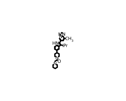 Cc1cc(-c2[nH]c3ccc(C4CCN(C(=O)CN5CCCCC5)CC4)cc3c2C(C)C)cn2ncnc12